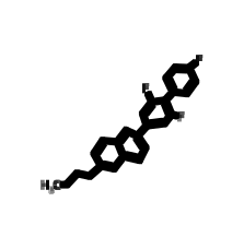 CCCCc1ccc2cc(-c3cc(F)c(-c4ccc(F)cc4)c(F)c3)ccc2c1